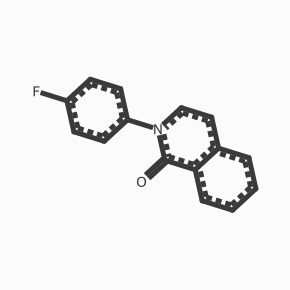 O=c1c2ccccc2ccn1-c1ccc(F)cc1